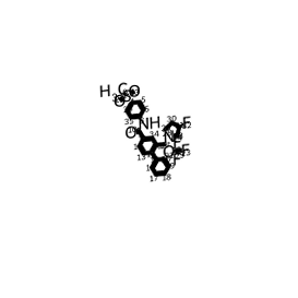 CS(=O)(=O)c1ccc(NC(=O)c2ccc(-c3ccccc3OC(F)(F)F)c(CN3CC[C@@H](F)C3)c2)cc1